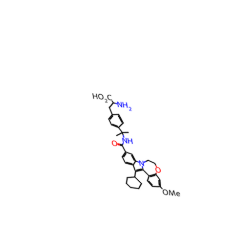 COc1ccc2c(c1)OCCn1c-2c(C2CCCCC2)c2ccc(C(=O)NC(C)(C)c3ccc(CC(N)C(=O)O)cc3)cc21